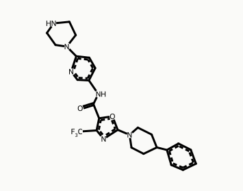 O=C(Nc1ccc(N2CCNCC2)nc1)c1oc(N2CCC(c3ccccc3)CC2)nc1C(F)(F)F